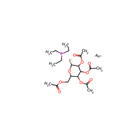 CC(=O)OCC1OC([S-])C(OC(C)=O)C(OC(C)=O)C1OC(C)=O.CCP(CC)CC.[Au+]